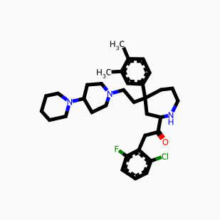 Cc1ccc(C2(CCN3CCC(N4CCCCC4)CC3)CCCNC(C(=O)Cc3c(F)cccc3Cl)C2)cc1C